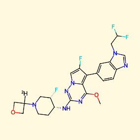 [2H]C1(N2CC[C@@H](Nc3nc(OC)c4c(-c5ccc6ncn(CC(F)F)c6c5)c(F)cn4n3)[C@@H](F)C2)COC1